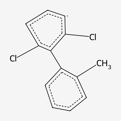 Cc1ccccc1-c1c(Cl)[c]ccc1Cl